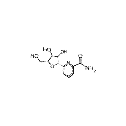 NC(=O)c1cccc([C@@H]2O[C@H](CO)C(O)C2O)n1